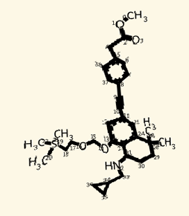 COC(=O)Cc1ccc(C#Cc2cc(OCOCC[Si](C)(C)C)c3c(c2)C(C)(C)CCC3NCC2CC2)cc1